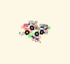 CC1COc2ccccc2N1C(=O)C(Cl)Cl.CCOc1cc(Oc2ccc(C(F)(F)F)cc2Cl)ccc1[N+](=O)[O-].CCc1cccc(C)c1N(C(=O)CCl)C(C)COC.O=C(O)CNCP(=O)(O)O